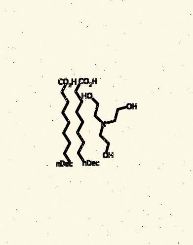 CCCCCCCCCCCCCCCCCC(=O)O.CCCCCCCCCCCCCCCCCC(=O)O.OCCN(CCO)CCO